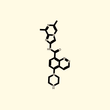 Cc1cn2cc(NC(=O)c3ccc(N4CCNCC4)c4ccnnc34)nc2c(C)n1